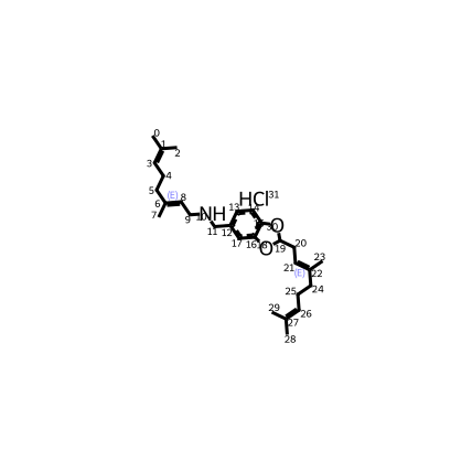 CC(C)=CCC/C(C)=C/CNCc1ccc2c(c1)OC(C/C=C(\C)CCC=C(C)C)O2.Cl